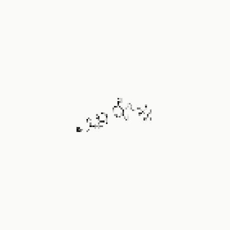 O=C(CBr)Nc1nc(-c2cc(Cl)c(OCCC(F)(F)C(F)(F)F)c(Cl)c2)cs1